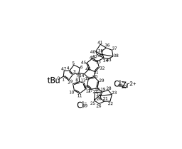 CC(C)(C)C1=CC2=C(CCC2(c2ccccc2)C2c3ccc(C45CC6CC(CC(C6)C4)C5)cc3-c3cc(C45CC6CC(CC(C6)C4)C5)ccc32)C1.[Cl-].[Cl-].[Zr+2]